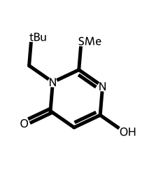 CSc1nc(O)cc(=O)n1CC(C)(C)C